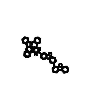 c1ccc(-c2nc(-c3ccc4c(c3)oc3ccc(-c5cccc6c5oc5ccccc56)cc34)nc(-c3ccccc3-n3c4ccccc4c4ccccc43)n2)cc1